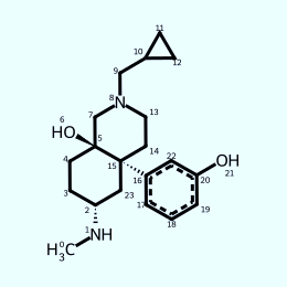 CN[C@@H]1CC[C@]2(O)CN(CC3CC3)CC[C@@]2(c2cccc(O)c2)C1